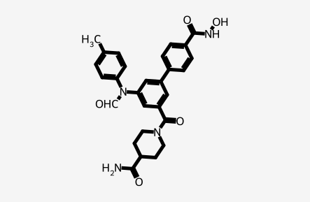 Cc1ccc(N(C=O)c2cc(C(=O)N3CCC(C(N)=O)CC3)cc(-c3ccc(C(=O)NO)cc3)c2)cc1